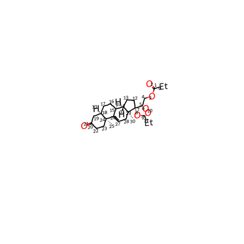 CCC(=O)OCC(=O)[C@]1(OC(=O)CC)CC[C@H]2[C@@H]3CC[C@@H]4CC(=O)CC[C@]4(C)C3=CC[C@@]21C